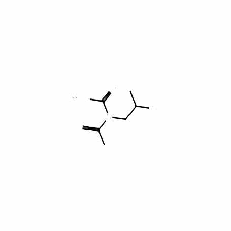 C=C(C)N(CC(C)C(C)=O)C(=O)OC